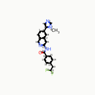 Cn1cncc1-c1ccc2cnc(NC(=O)c3ccc(CC(F)F)cc3)cc2c1